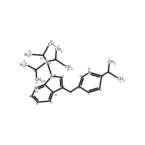 CC(C)c1ccc(Cc2cn([Si](C(C)C)(C(C)C)C(C)C)c3ncccc23)cn1